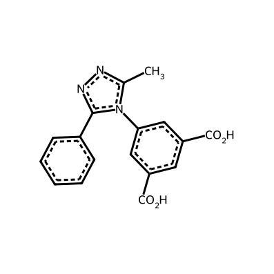 Cc1nnc(-c2ccccc2)n1-c1cc(C(=O)O)cc(C(=O)O)c1